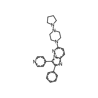 c1ccc(-c2nc3ccc(N4CCN(N5CCCC5)CC4)nn3c2-c2ccncc2)cc1